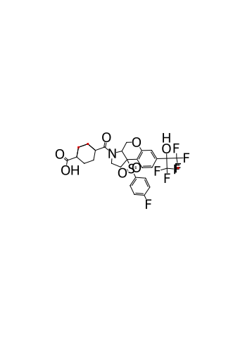 O=C(O)C12CCC(C(=O)N3CCC4(S(=O)(=O)c5ccc(F)cc5)c5ccc(C(O)(C(F)(F)F)C(F)(F)F)cc5OCC34)(CC1)CC2